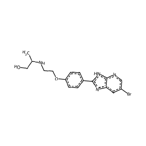 CC(CO)NCCOc1ccc(-c2nc3cc(Br)cnc3[nH]2)cc1